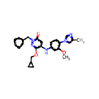 COc1cc(Nc2cc(=O)n(Cc3ccccc3)nc2OCC2CC2)ccc1-n1cnc(C)c1